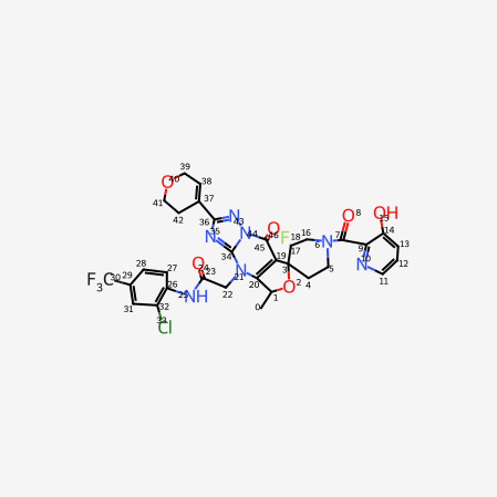 CC1OC2(CCN(C(=O)c3ncccc3O)CC2F)c2c1n(CC(=O)Nc1ccc(C(F)(F)F)cc1Cl)c1nc(C3=CCOCC3)nn1c2=O